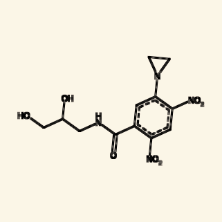 O=C(NCC(O)CO)c1cc(N2CC2)c([N+](=O)[O-])cc1[N+](=O)[O-]